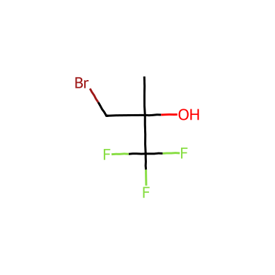 CC(O)(CBr)C(F)(F)F